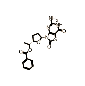 CC(OC(=O)c1ccccc1)[C@@H]1CC[C@H](n2c(=O)sc3c(=O)[nH]c(N)nc32)O1